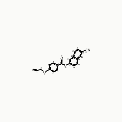 C=CCOc1ccc(C(=O)Oc2ccc3cc(C#N)ccc3c2)cc1